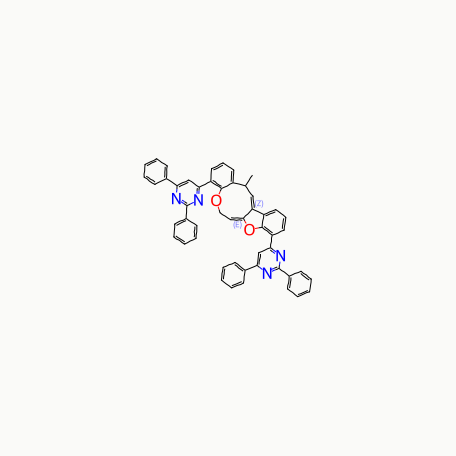 CC1/C=c2\c(oc3c(-c4cc(-c5ccccc5)nc(-c5ccccc5)n4)cccc23)=C/COc2c(-c3cc(-c4ccccc4)nc(-c4ccccc4)n3)cccc21